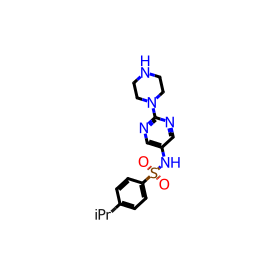 CC(C)c1ccc(S(=O)(=O)Nc2cnc(N3CCNCC3)nc2)cc1